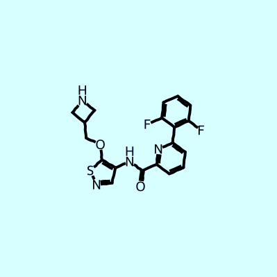 O=C(Nc1cnsc1OCC1CNC1)c1cccc(-c2c(F)cccc2F)n1